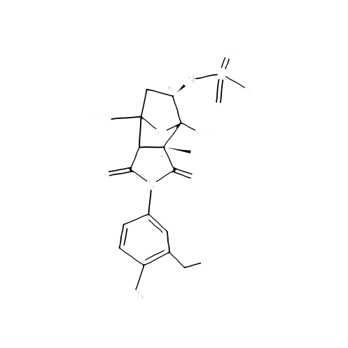 CCS(=O)(=O)N[C@@H]1CC2(C)OC1(C)[C@@H]1C(=O)N(c3ccc(C#N)c(CF)c3)C(=O)C12